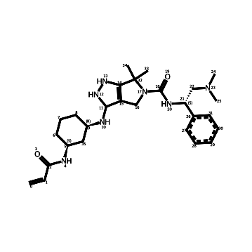 C=CC(=O)N[C@H]1CCC[C@@H](NC2NNC3=C2CN(C(=O)N[C@H](CN(C)C)c2ccccc2)C3(C)C)C1